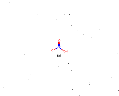 O=[N+]([O-])O.[Nd]